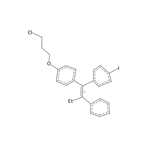 CC/C(=C(/c1ccc(I)cc1)c1ccc(OCCCCl)cc1)c1ccccc1